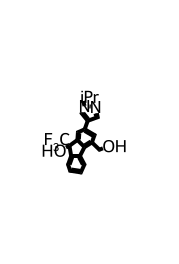 CC(C)n1cc(-c2cc(CO)c3c(c2)C(O)(C(F)(F)F)c2ccccc2-3)cn1